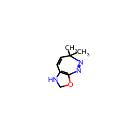 CC1(C)C=CC2=C(N=N1)OCN2